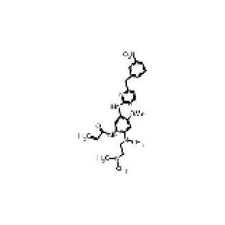 C=CC(=O)Nc1cc(Nc2nccc(Cc3cccc([N+](=O)[O-])c3)n2)c(OC)cc1N(C)CCN(C)C